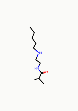 CCCCCNCCNC(=O)C(C)C